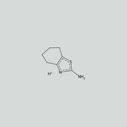 Nc1nc2c(s1)CCCC2.[H+]